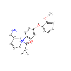 COc1ccccc1Oc1ccc([N+]2(C(=O)C3CC3)C=C(CN)C=CC2)cc1